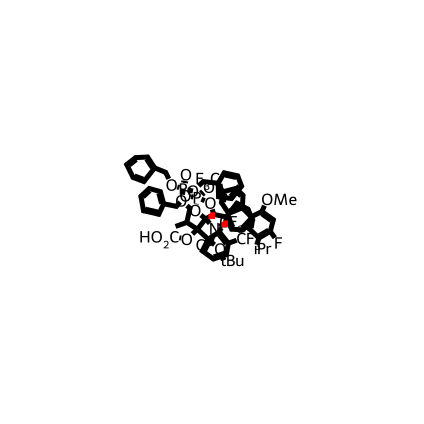 COc1cc(F)c(C(C)C)cc1-c1ccc(C(F)(F)F)cc1CN(C(=O)OC(C)(C)C)C(C)(OP(=O)(OCc1ccccc1)OCc1ccccc1)C(OC(=O)O)(c1cccc(C(F)(F)F)c1C(F)(F)F)C(C)COP(=O)(OCc1ccccc1)OCc1ccccc1